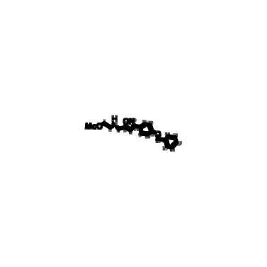 COCCNCc1cc(-c2ccc(OCc3ccccc3)cc2)no1